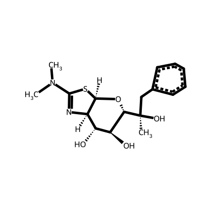 CN(C)C1=N[C@@H]2[C@@H](O)[C@H](O)[C@@H]([C@](C)(O)Cc3ccccc3)O[C@@H]2S1